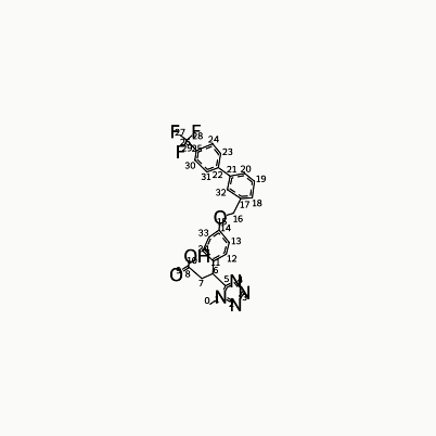 Cn1nnnc1C(CC(=O)O)c1ccc(OCc2cccc(-c3ccc(C(F)(F)F)cc3)c2)cc1